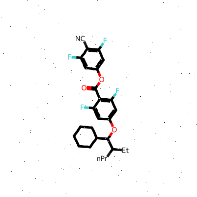 CCCC(CC)C(Oc1cc(F)c(C(=O)Oc2cc(F)c(C#N)c(F)c2)c(F)c1)C1CCCCC1